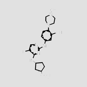 Cc1cc(Nc2ncc(F)c(N[C@H]3CC[C@@H](C(=O)O)C3)n2)ccc1N1CCN(C)CC1